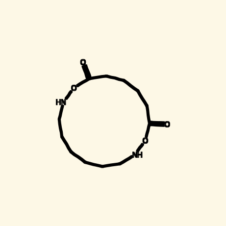 O=C1CCCCC(=O)ONCCCCCCNO1